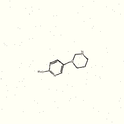 COc1ccc(N2CCCNC2)cn1